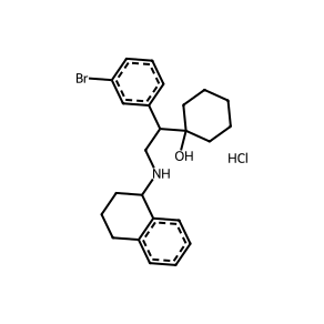 Cl.OC1(C(CNC2CCCc3ccccc32)c2cccc(Br)c2)CCCCC1